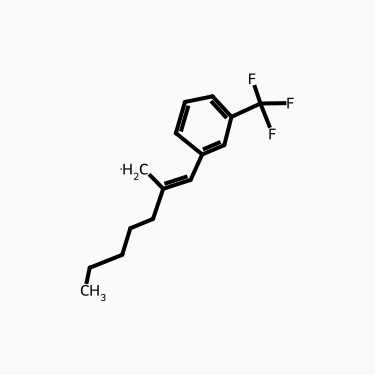 [CH2]/C(=C\c1cccc(C(F)(F)F)c1)CCCCC